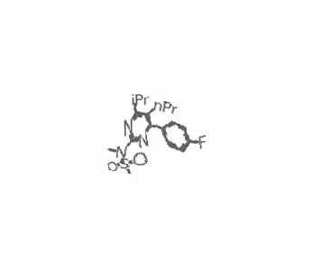 CCCc1c(-c2ccc(F)cc2)nc(N(C)S(C)(=O)=O)nc1C(C)C